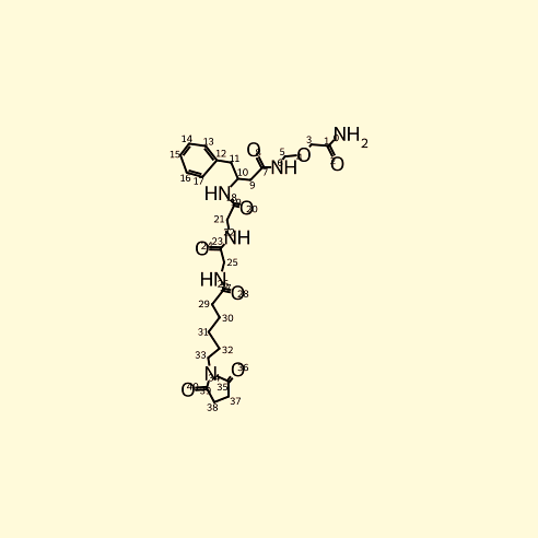 NC(=O)COCNC(=O)CC(Cc1ccccc1)NC(=O)CNC(=O)CNC(=O)CCCCCN1C(=O)CCC1=O